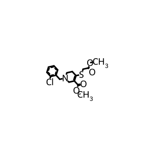 COC(=O)CSC1=C(C(=O)OC)CN(Cc2ccccc2Cl)CC1